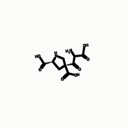 NC(C(=O)O)C(=O)[C@@]1(C(=O)O)CN[C@@H](C(=O)O)C1